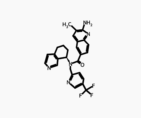 Cc1cc2cc(C(=O)N(Cc3ccc(C(F)(F)F)cn3)[C@@H]3CCCc4ccncc43)ccc2nc1N